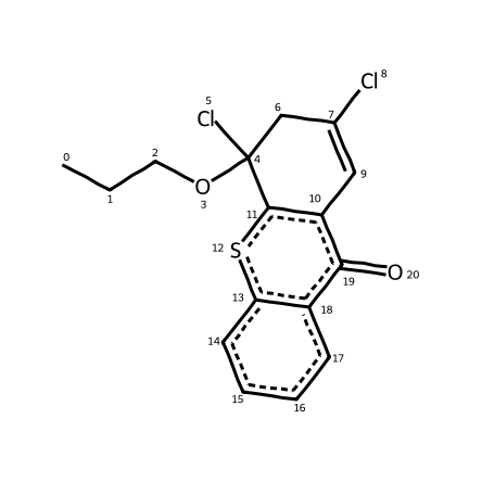 CCCOC1(Cl)CC(Cl)=Cc2c1sc1ccccc1c2=O